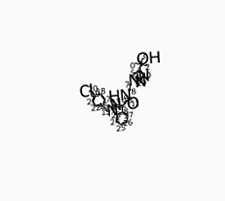 CC(C)(O)c1cn(CCNC(=O)c2nn(Cc3ccc(Cl)cc3)c3ccccc23)nn1